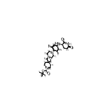 CC(C)(C)OC(=O)N1CCC(F)(CN2CCN(c3c(F)cc(NC4CCC(=O)NC4=O)cc3F)CC2)CC1